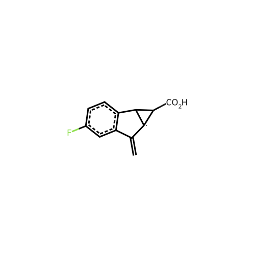 C=C1[C]2C(C(=O)O)C2c2ccc(F)cc21